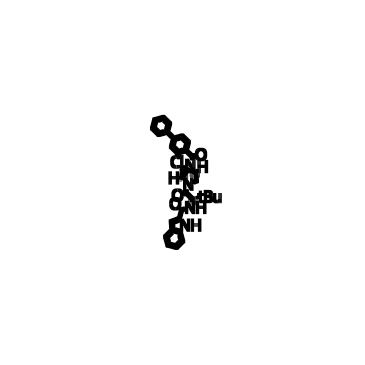 CC(C)(C)[C@H](NC(=O)c1cc2ccccc2[nH]1)C(=O)N1C[C@@H]2C[C@H]1CN2C(=O)c1ccc(-c2ccccc2)cc1Cl